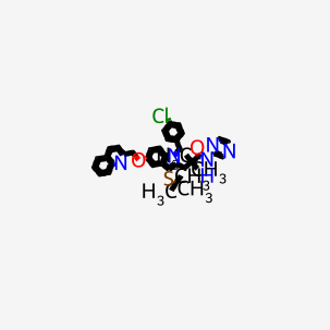 CC(C)(C)Sc1c(CC(C)(C)C(=O)Nc2cnccn2)n(Cc2ccc(Cl)cc2)c2ccc(OCc3ccc4ccccc4n3)cc12